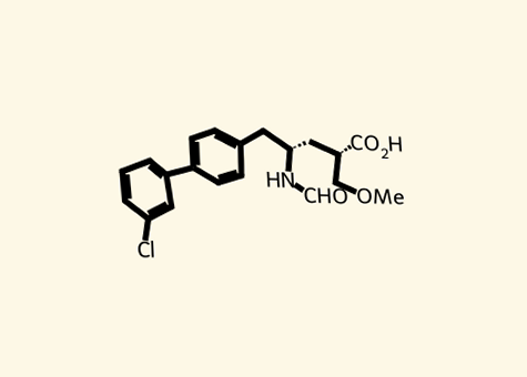 COC[C@H](C[C@@H](Cc1ccc(-c2cccc(Cl)c2)cc1)NC=O)C(=O)O